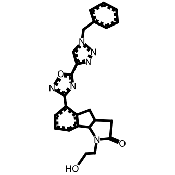 O=C1CC2Cc3c(-c4noc(-c5cn(Cc6ccccc6)nn5)n4)cccc3C2N1CCO